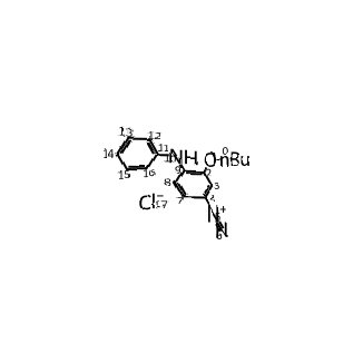 CCCCOc1cc([N+]#N)ccc1Nc1ccccc1.[Cl-]